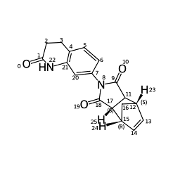 O=C1CCc2ccc(N3C(=O)C4[C@@H]5C=C[C@@H](C5)[C@@H]4C3=O)cc2N1